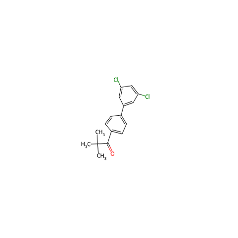 CC(C)(C)C(=O)c1ccc(-c2cc(Cl)cc(Cl)c2)cc1